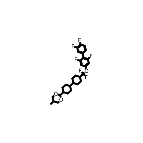 CC1COC(C2CCC(C3CCC(C(F)(F)Oc4cc(F)c(-c5ccc(F)c(F)c5)c(F)c4)CC3)CC2)OC1